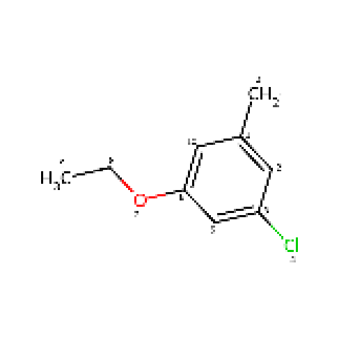 [CH2]c1cc(Cl)cc(OCC)c1